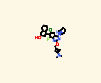 CN(C)C12CC(COc3nc(N4CC5CCC(C4)N5)c4cc(Cl)c(-c5cc(O)cc6ccccc56)c(F)c4n3)(C1)C2